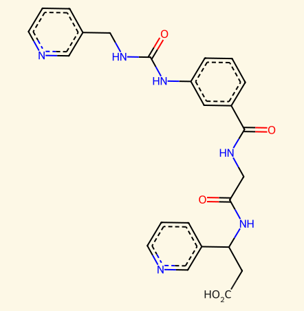 O=C(O)CC(NC(=O)CNC(=O)c1cccc(NC(=O)NCc2cccnc2)c1)c1cccnc1